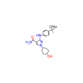 COC(C)(C)c1ccc(Nc2nn(C3CCC(O)CC3)cc2C(N)=O)cc1